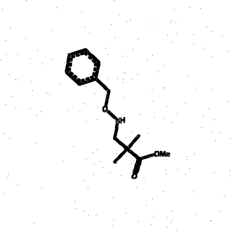 COC(=O)C(C)(C)CNOCc1ccccc1